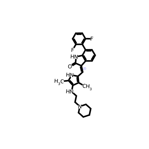 Cc1[nH]c(/C=C2\C(=O)Nc3c2cccc3-c2c(F)cccc2F)c(C)c1NCCN1CCCCC1